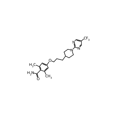 Cc1cc(OCCCC2CCN(c3ncc(C(F)(F)F)cn3)CC2)cc(C)c1C(N)=O